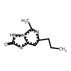 CCCc1cc2nc(=O)[nH]n2c(C)n1